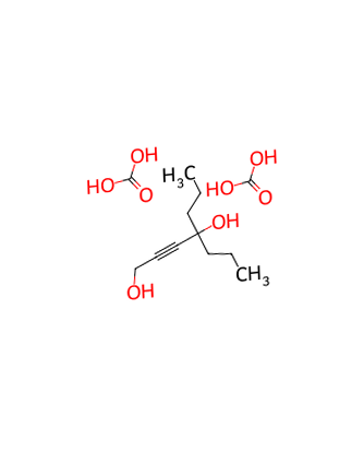 CCCC(O)(C#CCO)CCC.O=C(O)O.O=C(O)O